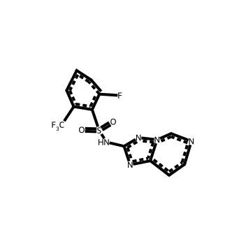 O=S(=O)(Nc1nc2ccncn2n1)c1c(F)cccc1C(F)(F)F